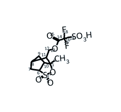 CC12OS(=O)(=O)C3CC(CC31)C2COC(=O)C(F)(F)S(=O)(=O)O